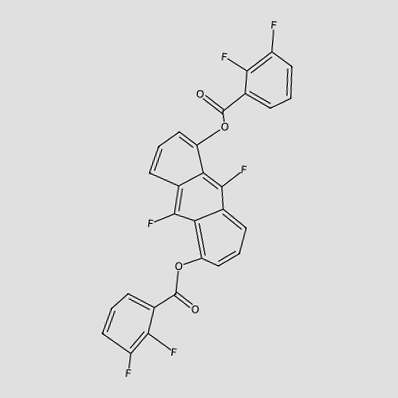 O=C(Oc1cccc2c(F)c3c(OC(=O)c4cccc(F)c4F)cccc3c(F)c12)c1cccc(F)c1F